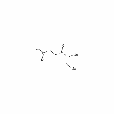 CCN(CC)CCC(=O)C(CC(C)(C)C)C(C)(C)C